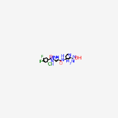 N/C(=N\O)c1cc(CNC(=O)c2cc(NC(=O)c3cc(F)c(F)cc3Cl)[nH]n2)ccn1